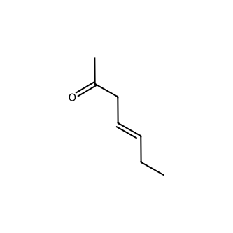 CCC=CCC(C)=O